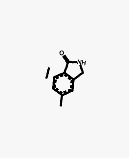 CC.Cc1ccc2c(c1)CNC2=O